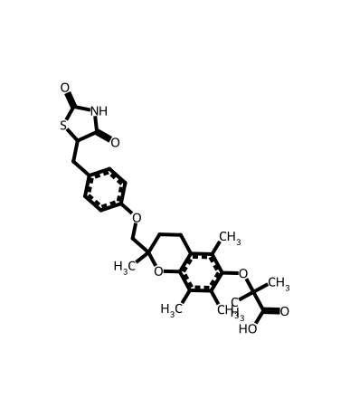 Cc1c(C)c2c(c(C)c1OC(C)(C)C(=O)O)CCC(C)(COc1ccc(CC3SC(=O)NC3=O)cc1)O2